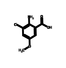 COc1cc(Cl)c(N)c(C(=O)O)c1